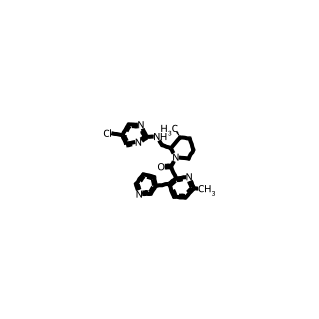 Cc1ccc(-c2cccnc2)c(C(=O)N2CCC[C@@H](C)C2CNc2ncc(Cl)cn2)n1